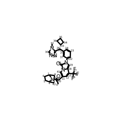 CC(=O)N1C2CCC1CN(Cc1cc(C(F)(F)F)c3cn(-c4cccc([C@H](c5nncn5C)C5CCC5)c4)c(=O)n3c1)C2